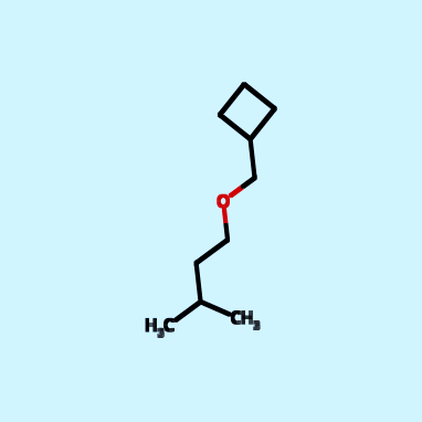 CC(C)CCOCC1CCC1